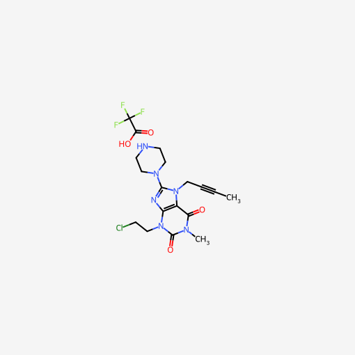 CC#CCn1c(N2CCNCC2)nc2c1c(=O)n(C)c(=O)n2CCCl.O=C(O)C(F)(F)F